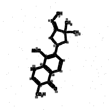 COc1c(N2CC(=NO)C(C)(C)C2)ccc2c(=O)c(C(=O)O)c[nH]c12